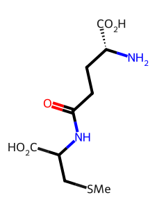 CSCC(NC(=O)CC[C@@H](N)C(=O)O)C(=O)O